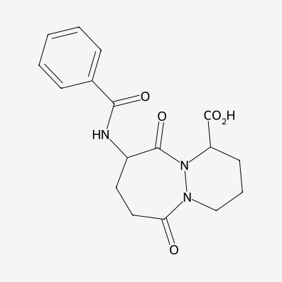 O=C(NC1CCC(=O)N2CCCC(C(=O)O)N2C1=O)c1ccccc1